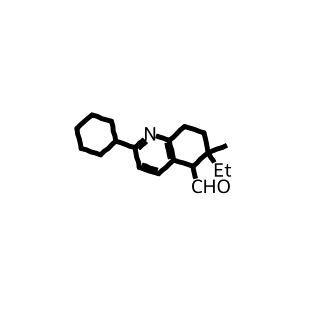 CCC1(C)CCc2nc(C3CCCCC3)ccc2C1C=O